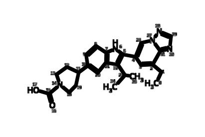 CCc1cc(-c2[nH]c3ccc(C4CCN(C(=O)O)CC4)cc3c2C(C)C)cn2ncnc12